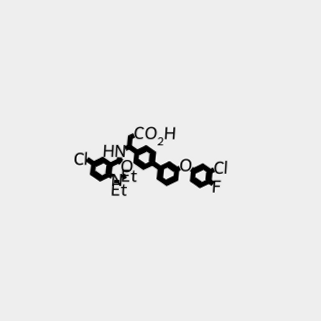 CCN(CC)c1ccc(Cl)cc1C(=O)NC(CC(=O)O)c1ccc(-c2cccc(Oc3ccc(F)c(Cl)c3)c2)cc1